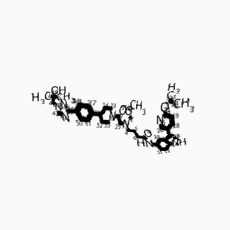 COCN(CCCC(=O)Nc1ccc2[nH]nc(-c3ccc(OC(C)C)nc3)c2c1)CC(=O)N1CC=C(c2ccc(-c3ncn(CC(C)(C)O)n3)cc2)CC1